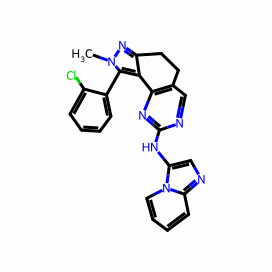 Cn1nc2c(c1-c1ccccc1Cl)-c1nc(Nc3cnc4ccccn34)ncc1CC2